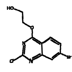 OCCOc1nc(Cl)nc2cc(Br)ccc12